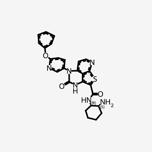 N[C@H]1CCCC[C@H]1NC(=O)c1sc2nccc3c2c1NC(=O)N3c1ccc(Oc2ccccc2)nc1